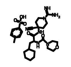 Cc1ccc(S(=O)(=O)O)cc1.N#CC1(NC(=O)C(CC2CCCCC2)NC(=O)N2CCOCC2)CCN(C(=N)N)CC1